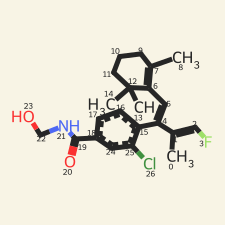 CC(=CF)C(=CC1=C(C)CCCC1(C)C)c1ccc(C(=O)NCO)cc1Cl